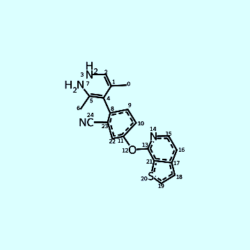 CC(=C/N)/C(=C(/C)N)c1ccc(Oc2nccc3ccsc23)cc1C#N